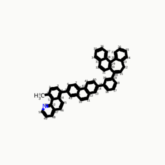 Cc1ccc(-c2ccc3c(ccc4cc(-c5cccc(C6=CCc7ccccc7-c7c6ccc6ccccc76)c5)ccc43)c2)c2ccc3cccnc3c12